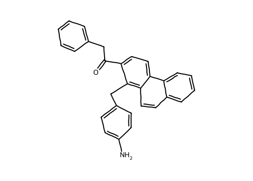 Nc1ccc(Cc2c(C(=O)Cc3ccccc3)ccc3c2ccc2ccccc23)cc1